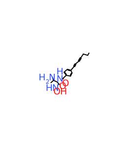 CCCC#CC#Cc1ccc(C(=O)NC(C(=O)NO)C(C)N)cc1